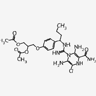 CCCC(NC(=N)N1C(N)=C(Cl)NC(C(N)=O)=C1N)c1ccc(OCC(COC(C)=O)OC(C)=O)cc1